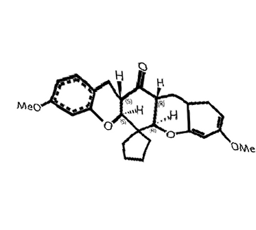 COC1=CCC2C[C@H]3C(=O)[C@H]4Cc5ccc(OC)cc5O[C@@H]4C4(CCCC4)[C@@H]3OC2=C1